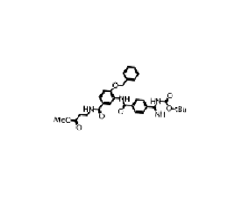 COC(=O)CCNC(=O)c1ccc(OCc2ccccc2)c(NC(=O)c2ccc(C(=N)NC(=O)OC(C)(C)C)cc2)c1